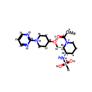 COC(=O)N1CCC[C@H](NS(C)(=O)=O)[C@@H]1COC1CCN(c2ncccn2)CC1